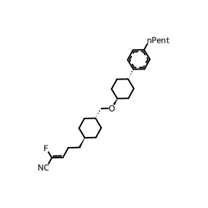 CCCCCc1ccc([C@H]2CC[C@H](OC[C@H]3CC[C@H](CCC=C(F)C#N)CC3)CC2)cc1